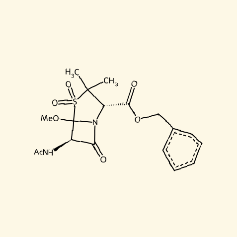 COC12[C@H](NC(C)=O)C(=O)N1[C@@H](C(=O)OCc1ccccc1)C(C)(C)S2(=O)=O